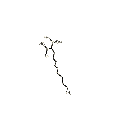 CCCCCCCCCCC(B(O)O)B(O)O